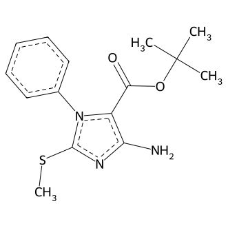 CSc1nc(N)c(C(=O)OC(C)(C)C)n1-c1ccccc1